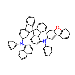 C1=CCCC(N(C2=C3C=CC=CC3CC=C2)C2C=CC3=C(C2)C2(c4ccccc43)C3C=CC=CC3C3C(N(C4C=CCCC4)C4C=C5C6=C(CCC=C6)OC5CC4)=CC=CC32)=C1